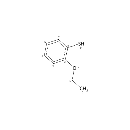 CCOc1ccccc1S